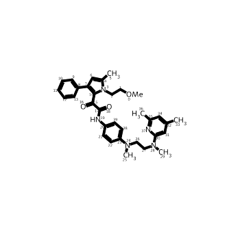 COCCn1c(C)cc(-c2ccccc2)c1C(=O)C(=O)Nc1ccc(N(C)CCN(C)c2cc(C)cc(C)n2)cc1